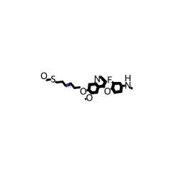 CNc1ccc(Oc2ccnc3cc(OCC/C=C/CCSC=O)c(OC)cc23)c(F)c1